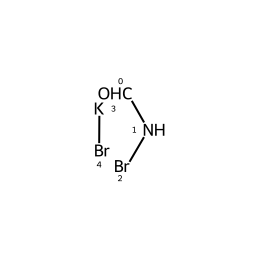 O=CNBr.[K][Br]